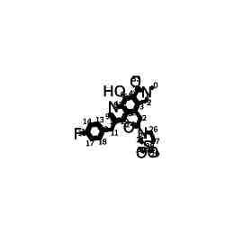 CN1Cc2c(c(O)c3ncc(Cc4ccc(F)cc4)cc3c2CC(=O)N2CCS(=O)(=O)C2)C1=O